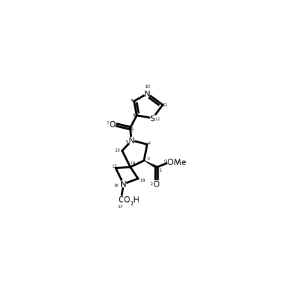 COC(=O)[C@@H]1CN(C(=O)c2cncs2)CC12CN(C(=O)O)C2